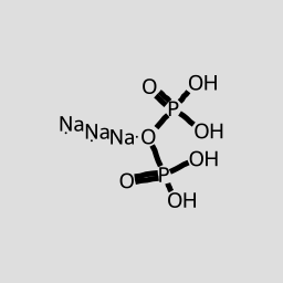 O=P(O)(O)OP(=O)(O)O.[Na].[Na].[Na]